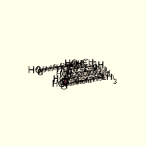 CCCCCC(=O)O.CCCCCCCCCCCCCCCC(=O)O.CCCCCCCCCCCCCCCCCC(=O)O.CCCCCCCCCCCCCCCCCCCC(=O)O.CCCCCCCCCCCCCCCCCCCCCC(=O)O.CCCCCCCCCCCCCCCCCCCCCCCC(=O)O